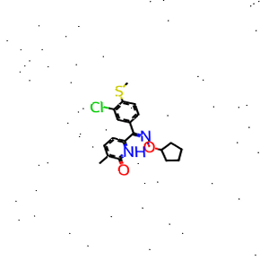 CSc1ccc(C(=NOC2CCCC2)c2ccc(C)c(=O)[nH]2)cc1Cl